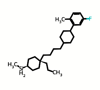 CCC[C@]1(CCCCC2CCC(c3cc(F)ccc3C)CC2)CC[C@H]([SiH2]C)CC1